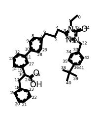 CCn1c(CCCc2ccc(-c3cccc(C(Cc4ccccc4)C(=O)O)c3)cc2)nn(Cc2ccc(C(C)(C)C)cc2)c1=O